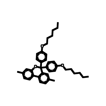 CCCCCCOc1ccc(C2(c3ccc(OCCCCCC)cc3)Oc3cc(C)ccc3-c3ccc(C)cc32)cc1